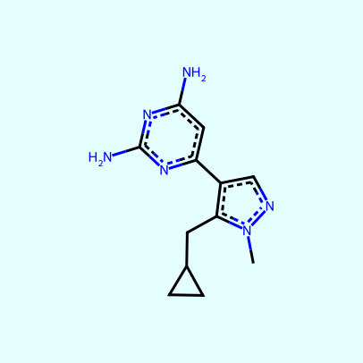 Cn1ncc(-c2cc(N)nc(N)n2)c1CC1CC1